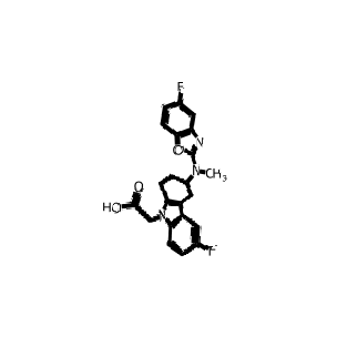 CN(c1nc2cc(F)ccc2o1)C1CCc2c(c3cc(F)ccc3n2CC(=O)O)C1